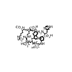 CC(Nc1ccccc1)C(=O)O.N=C(N)NCCCC(N)C(=O)O.NC(Cc1c[nH]c2ccccc12)C(=O)O.NC(Cc1c[nH]cn1)C(=O)O.NCCCCC(N)C(=O)O